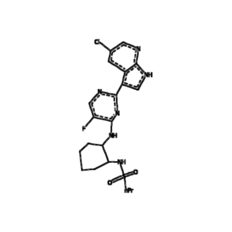 CCCS(=O)(=O)NC1CCCCC1Nc1nc(-c2c[nH]c3ncc(Cl)cc23)ncc1F